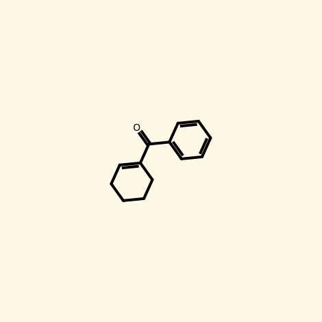 O=C(C1=CCCCC1)c1ccccc1